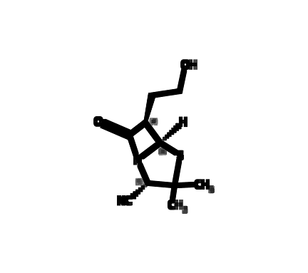 CC1(C)S[C@@H]2[C@H](CCO)C(=O)N2[C@H]1C#N